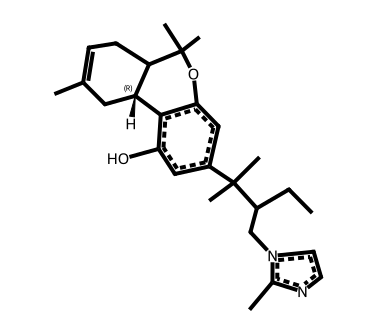 CCC(Cn1ccnc1C)C(C)(C)c1cc(O)c2c(c1)OC(C)(C)C1CC=C(C)C[C@@H]21